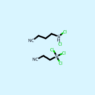 N#CCCC[SiH](Cl)Cl.N#CCC[Si](Cl)(Cl)Cl